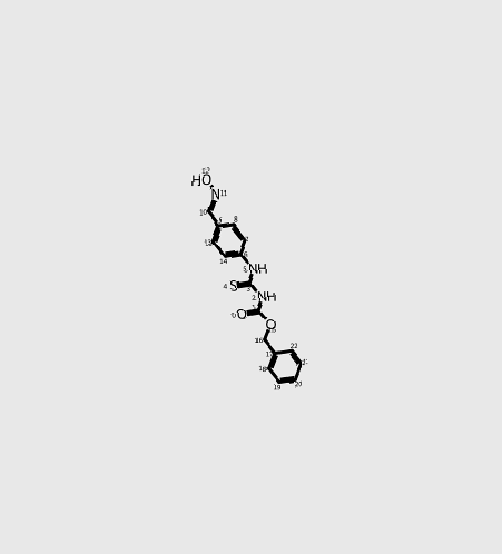 O=C(NC(=S)Nc1ccc(C=NO)cc1)OCc1ccccc1